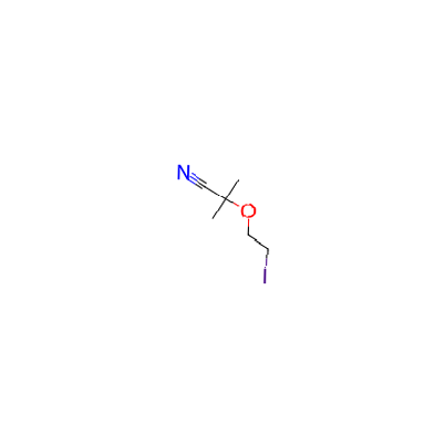 CC(C)(C#N)OCCI